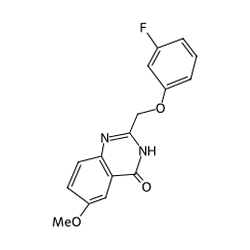 COc1ccc2nc(COc3cccc(F)c3)[nH]c(=O)c2c1